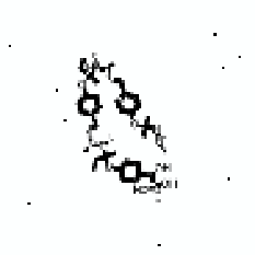 CCC(C)(Oc1ccc(/C=N/N(C)[PH](=S)C(C)(CC)Oc2ccc(C(O)P(=O)(O)O)cc2)cc1)[PH](=S)N(C)/N=C/c1ccc(OC(C)(C)N=[N+]=[N-])cc1